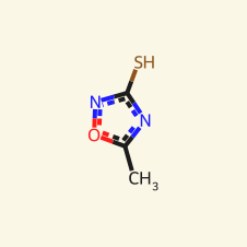 Cc1nc(S)no1